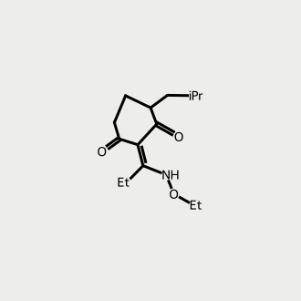 CCONC(CC)=C1C(=O)CCC(CC(C)C)C1=O